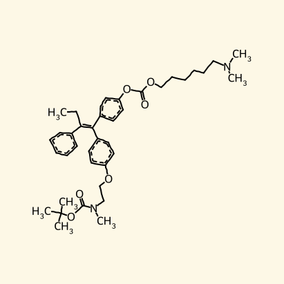 CCC(=C(c1ccc(OCCN(C)C(=O)OC(C)(C)C)cc1)c1ccc(OC(=O)OCCCCCCN(C)C)cc1)c1ccccc1